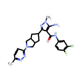 Cn1nc(C2CC3CN(c4ccc(C(F)(F)F)nn4)CC3C2)c(C(=O)Nc2ccc(F)c(Cl)c2)c1N